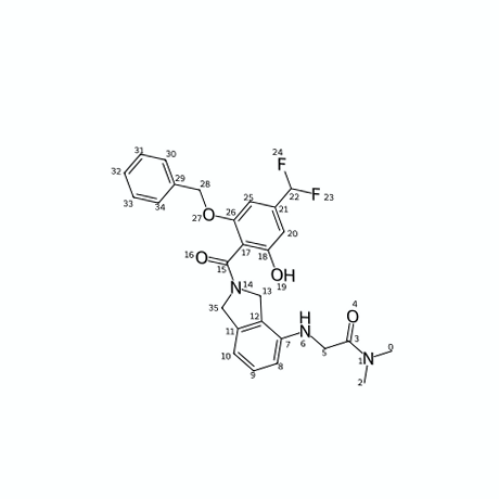 CN(C)C(=O)CNc1cccc2c1CN(C(=O)c1c(O)cc(C(F)F)cc1OCc1ccccc1)C2